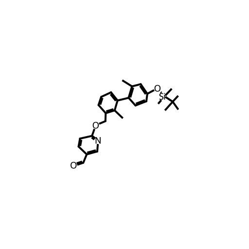 Cc1cc(O[Si](C)(C)C(C)(C)C)ccc1-c1cccc(COc2ccc(C=O)cn2)c1C